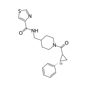 O=C(NCC1CCN(C(=O)C2C[C@@H]2c2ccccc2)CC1)c1cscn1